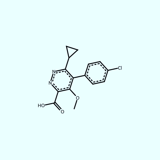 COc1c(C(=O)O)nnc(C2CC2)c1-c1ccc(Cl)cc1